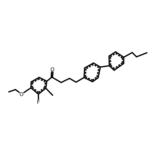 CCCc1ccc(-c2ccc(CCCC(=O)c3ccc(OCC)c(F)c3C)cc2)cc1